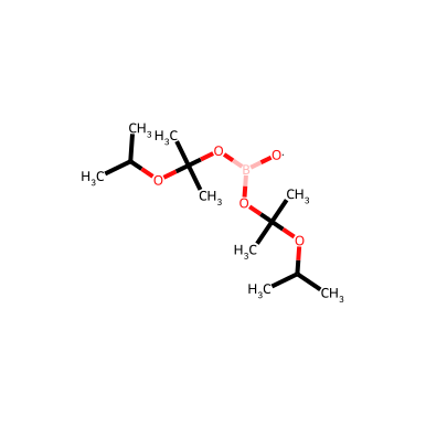 CC(C)OC(C)(C)OB([O])OC(C)(C)OC(C)C